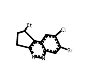 CCC1CCc2nnc3cc(Br)c(Cl)cc3c21